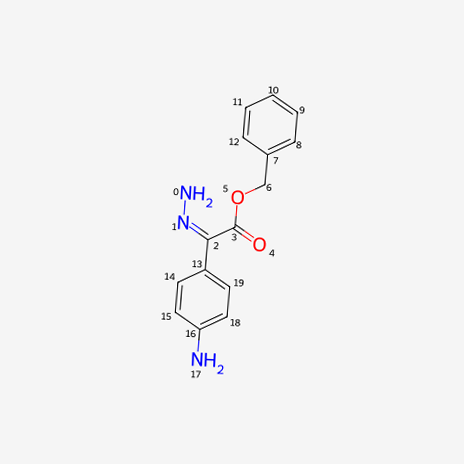 NN=C(C(=O)OCc1ccccc1)c1ccc(N)cc1